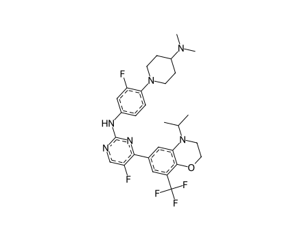 CC(C)N1CCOc2c1cc(-c1nc(Nc3ccc(N4CCC(N(C)C)CC4)c(F)c3)ncc1F)cc2C(F)(F)F